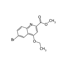 CCOc1cc(C(=O)OC)nc2ccc(Br)cc12